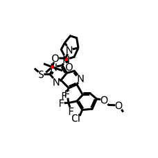 COCOc1cc(Cl)c(C(F)(F)F)c(-c2ncc3c(N4CC5CCC(C4)N5C(=O)OC(C)(C)C)nc(SC)nc3c2F)c1